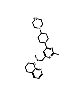 Cc1nc(CN(C)[C@H]2CCCc3cccnc32)cc(N2CCC(N3CCNCC3)CC2)n1